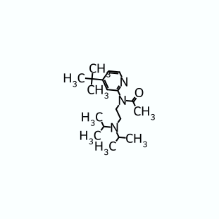 CC(=O)N(CCN(C(C)C)C(C)C)c1cc(C(C)(C)C)ccn1